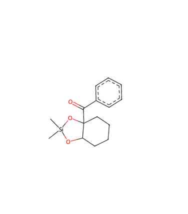 C[Si]1(C)OC2CCCCC2(C(=O)c2ccccc2)O1